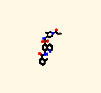 CCCC(=O)N1CCC(NS(=O)(=O)c2ccc(NC(=O)c3ccccc3C)c3ncccc23)C(C)C1